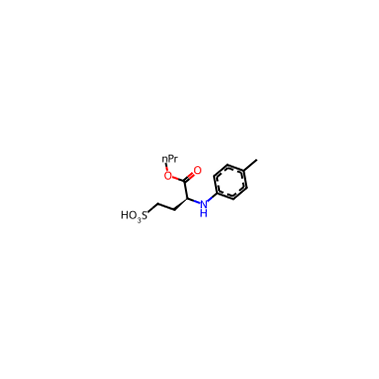 CCCOC(=O)[C@H](CCS(=O)(=O)O)Nc1ccc(C)cc1